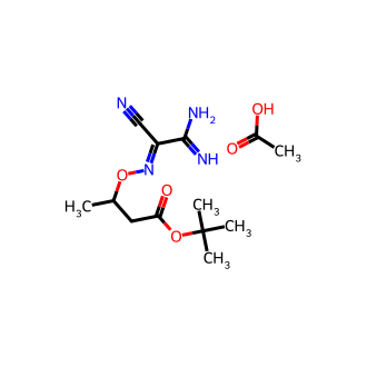 CC(=O)O.CC(CC(=O)OC(C)(C)C)ON=C(C#N)C(=N)N